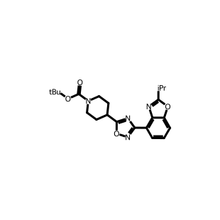 CC(C)c1nc2c(-c3noc(C4CCN(C(=O)OC(C)(C)C)CC4)n3)cccc2o1